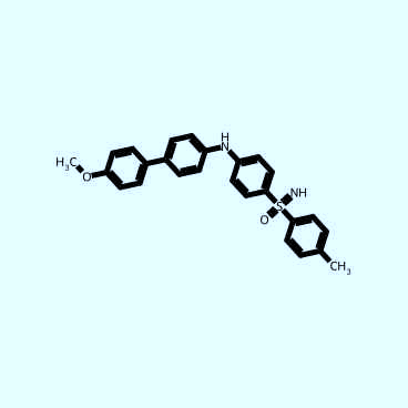 COc1ccc(-c2ccc(Nc3ccc(S(=N)(=O)c4ccc(C)cc4)cc3)cc2)cc1